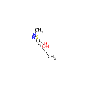 C=CCn1ccnc1SC(/C=C\CCCCCCCCCCCC)CCCCC(=O)O